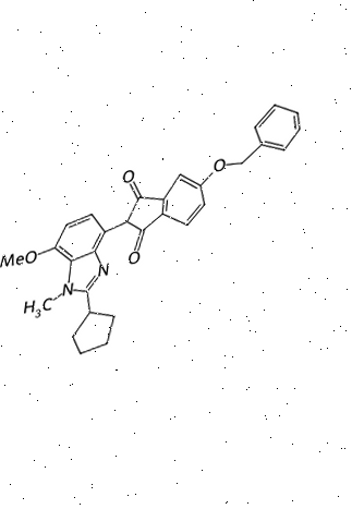 COc1ccc(C2C(=O)c3ccc(OCc4ccccc4)cc3C2=O)c2nc(C3CCCC3)n(C)c12